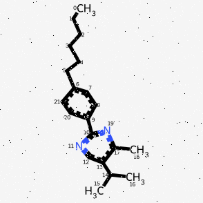 CCCCCCc1ccc(-c2ncc(C(C)C)c(C)n2)cc1